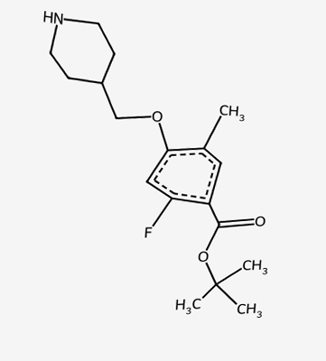 Cc1cc(C(=O)OC(C)(C)C)c(F)cc1OCC1CCNCC1